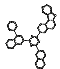 c1ccc(-c2cc(-c3nc(-c4ccc5ccccc5c4)nc(-c4ccc5c(ccc6oc7ccncc7c65)c4)n3)cc3ccccc23)cc1